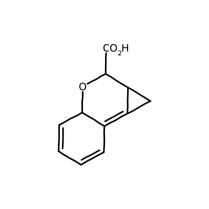 O=C(O)C1OC2C=CC=CC2=C2CC21